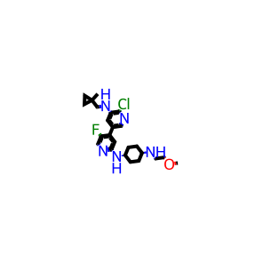 COCCN[C@H]1CC[C@H](Nc2cc(-c3cnc(Cl)c(NCC4(C)CC4)c3)c(F)cn2)CC1